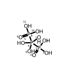 O=P(O)(O)P(O)(O)(O)P(=O)(O)O